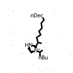 CCCCCCCCCCCCCCCCC(C)c1[nH]cc[n+]1C(C)CCCC